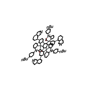 CCCCc1ccc(N2c3ccccc3C3(c4cc(-c5cccc6ccncc56)ccc4-c4c3c3c(c5c4C4(c6cc(-c7cccc8ccncc78)ccc6-5)c5ccccc5N(c5ccc(CCCC)cc5)c5ccccc54)C4(c5cc(-c6cccc7ccncc67)ccc5-3)c3ccccc3N(c3ccc(CCCC)cc3)c3ccccc34)c3ccccc32)cc1